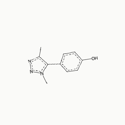 Cc1nnn(C)c1-c1ccc(O)cc1